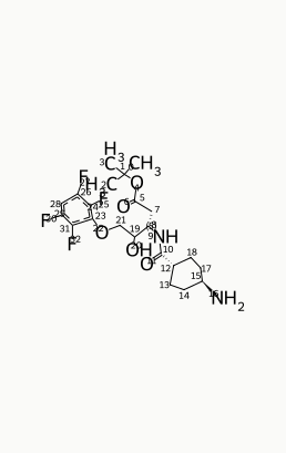 CC(C)(C)OC(=O)C[C@H](NC(=O)[C@H]1CC[C@H](N)CC1)C(O)COc1c(F)c(F)cc(F)c1F